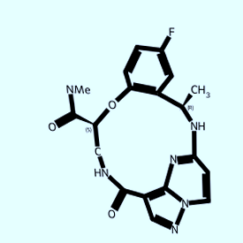 CNC(=O)[C@@H]1CNC(=O)c2cnn3ccc(nc23)N[C@H](C)c2cc(F)ccc2O1